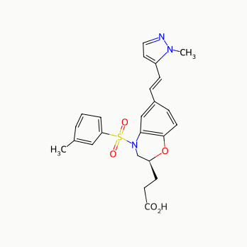 Cc1cccc(S(=O)(=O)N2C[C@H](CCC(=O)O)Oc3ccc(/C=C/c4ccnn4C)cc32)c1